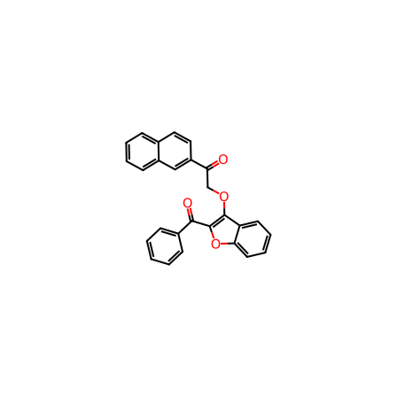 O=C(COc1c(C(=O)c2ccccc2)oc2ccccc12)c1ccc2ccccc2c1